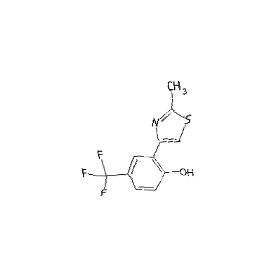 Cc1nc(-c2cc(C(F)(F)F)ccc2O)cs1